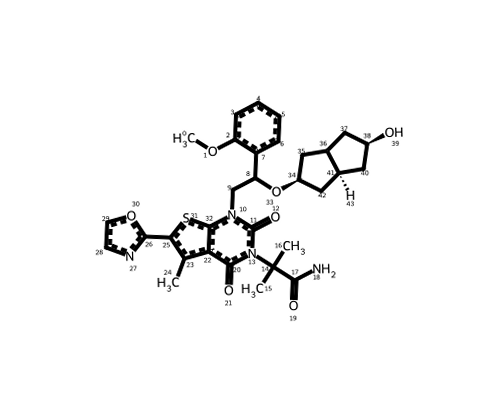 COc1ccccc1C(Cn1c(=O)n(C(C)(C)C(N)=O)c(=O)c2c(C)c(-c3ncco3)sc21)O[C@H]1CC2C[C@@H](O)C[C@H]2C1